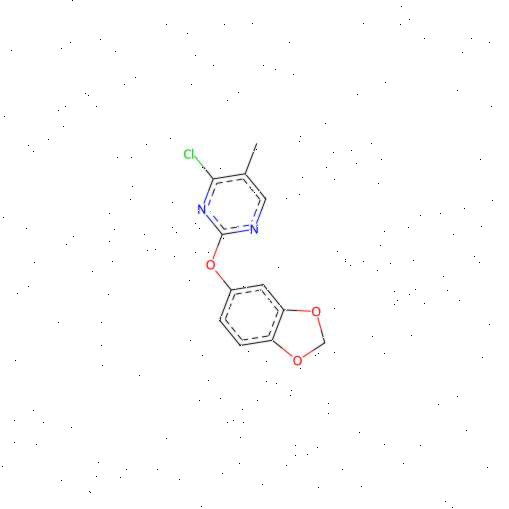 Cc1cnc(Oc2ccc3c(c2)OCO3)nc1Cl